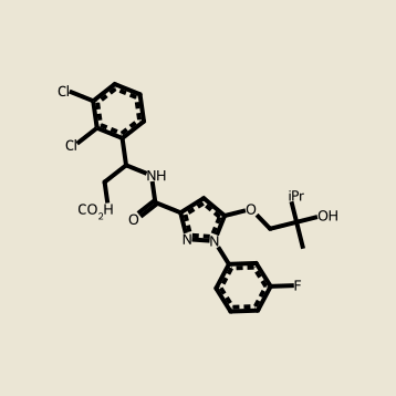 CC(C)C(C)(O)COc1cc(C(=O)NC(CC(=O)O)c2cccc(Cl)c2Cl)nn1-c1cccc(F)c1